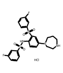 Cl.O=S(=O)(Nc1ccc(N2CCCNCC2)cc1S(=O)(=O)c1cccc(F)c1)c1cccc(F)c1